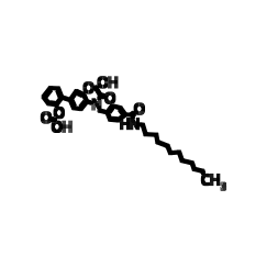 CCCCCCCCCCCCNC(=O)c1ccc(CN(C(=O)C(=O)O)c2ccc(-c3ccccc3OC(=O)O)cc2)cc1